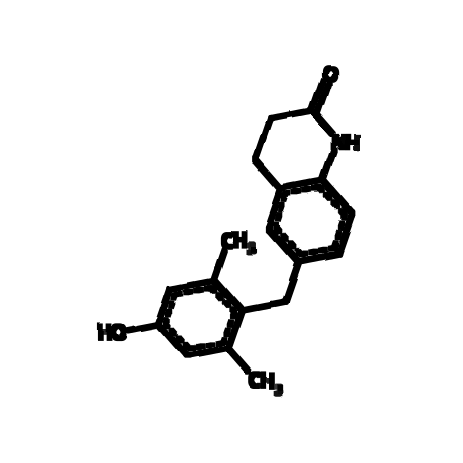 Cc1cc(O)cc(C)c1Cc1ccc2c(c1)CCC(=O)N2